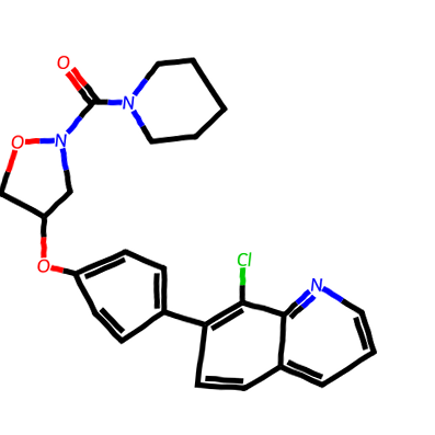 O=C(N1CCCCC1)N1CC(Oc2ccc(-c3ccc4cccnc4c3Cl)cc2)CO1